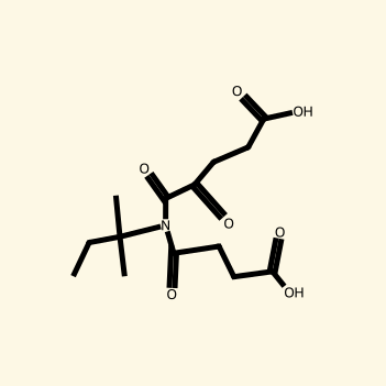 CCC(C)(C)N(C(=O)CCC(=O)O)C(=O)C(=O)CCC(=O)O